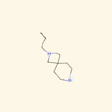 CCCN1CC2(CCNCC2)C1